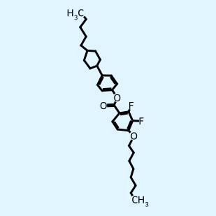 CCCCCCCCOc1ccc(C(=O)Oc2ccc(C3CCC(CCCCC)CC3)cc2)c(F)c1F